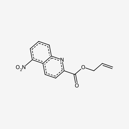 C=CCOC(=O)c1ccc2c([N+](=O)[O-])cccc2n1